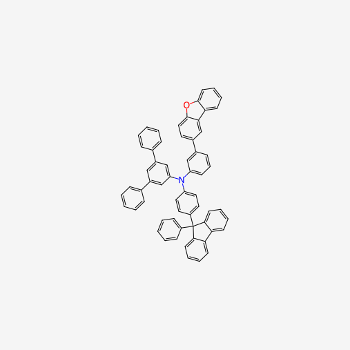 c1ccc(-c2cc(-c3ccccc3)cc(N(c3ccc(C4(c5ccccc5)c5ccccc5-c5ccccc54)cc3)c3cccc(-c4ccc5oc6ccccc6c5c4)c3)c2)cc1